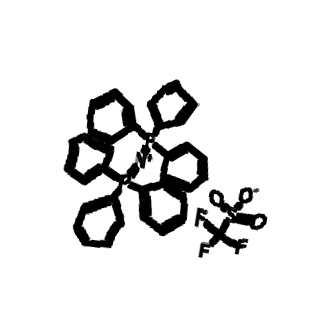 O=S(=O)([O-])C(F)(F)F.c1ccc(P(=[N+]=P(c2ccccc2)(c2ccccc2)c2ccccc2)(c2ccccc2)c2ccccc2)cc1